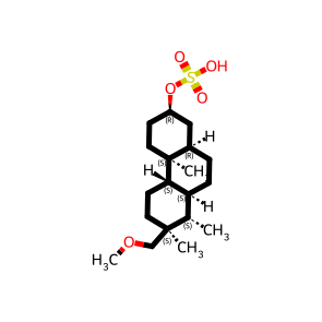 COC[C@@]1(C)CC[C@H]2[C@@H](CC[C@@H]3C[C@H](OS(=O)(=O)O)CC[C@@]32C)[C@@H]1C